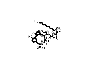 CCCCCCCCCC(=O)N(C)[C@H](CO)C(=O)N[C@H](C)C(=O)NCC(=O)N(C)[C@@H]1C(=O)N[C@@H](C)C(=O)N[C@H](C(=O)O)CC2=CC[C@H](O)C(=C2)C2=C(O)C=C[C@H]1C2